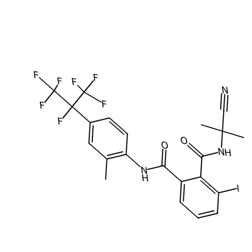 Cc1cc(C(F)(C(F)(F)F)C(F)(F)F)ccc1NC(=O)c1cccc(I)c1C(=O)NC(C)(C)C#N